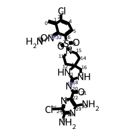 C=C1C(Cl)=CC=C(S(=O)(=O)N2CCC3(CC2)CN/C(=N\C(=O)c2nc(Cl)c(N)nc2N)N3)/C1=N/ON